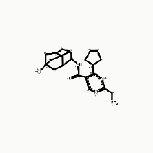 NCc1ncc(C(=O)NC2C3CC4CC2CC(O)(C4)C3)c(C2CCCC2)n1